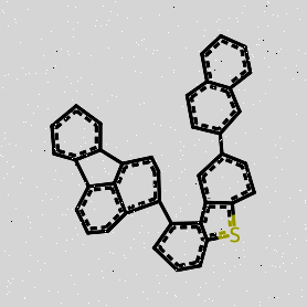 c1ccc2c(c1)-c1cccc3c(-c4cccc5sc6ccc(-c7ccc8ccccc8c7)cc6c45)ccc-2c13